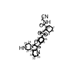 N#CCNC(=O)[C@@H]1CCCC[C@H]1CS(=O)(=O)c1ccc(SC(C(=O)N2CCNCC2)c2ccccn2)cc1